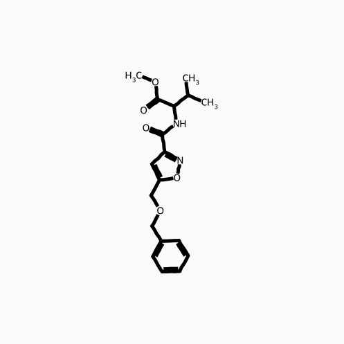 COC(=O)C(NC(=O)c1cc(COCc2ccccc2)on1)C(C)C